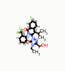 CCn1c(CO)nn(-c2c(C(C)C)c3ccc(F)cc3c(=O)n2-c2ccccc2C(F)(F)F)c1=O